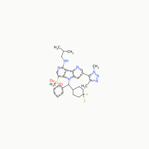 Cc1nnn(C)c1-c1cnc2c3c(NCC(C)C)ncc(S(C)(=O)=O)c3n(C(c3ccccc3)C3CCC(F)(F)CC3)c2c1